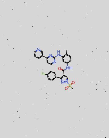 Cc1ccc(NC(=O)c2cn(S(C)(=O)=O)nc2-c2ccc(F)cc2)cc1Nc1nccc(-c2cccnc2)n1